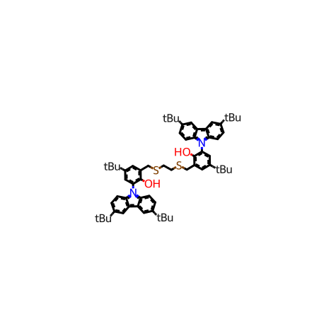 CC(C)(C)c1cc(CSCCSCc2cc(C(C)(C)C)cc(-n3c4ccc(C(C)(C)C)cc4c4cc(C(C)(C)C)ccc43)c2O)c(O)c(-n2c3ccc(C(C)(C)C)cc3c3cc(C(C)(C)C)ccc32)c1